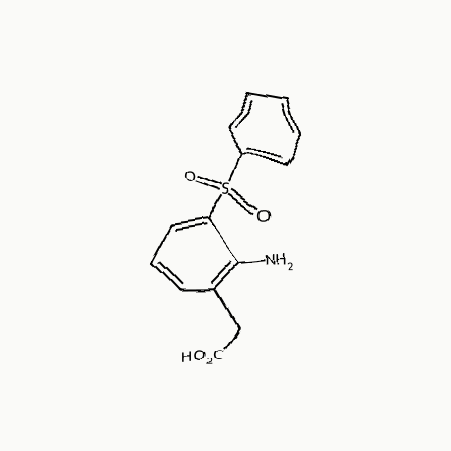 Nc1c(CC(=O)O)cccc1S(=O)(=O)c1ccccc1